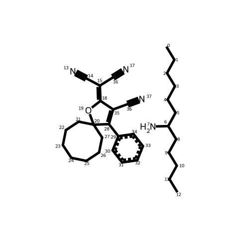 CCCCCCC(N)CCCCC.N#CC(C#N)=C1OC2(CCCCCCC2)C(c2ccccc2)=C1C#N